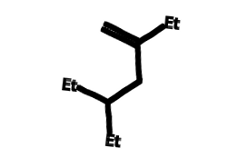 C=C(CC)CC(CC)CC